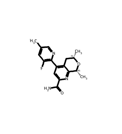 Cc1cnc(-c2cc(C(N)=O)nc3c2C[C@H](C)O[C@@H]3C)c(F)c1